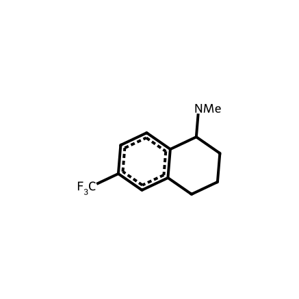 CNC1CCCc2cc(C(F)(F)F)ccc21